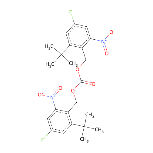 CC(C)(C)c1cc(F)cc([N+](=O)[O-])c1COC(=O)OCc1c([N+](=O)[O-])cc(F)cc1C(C)(C)C